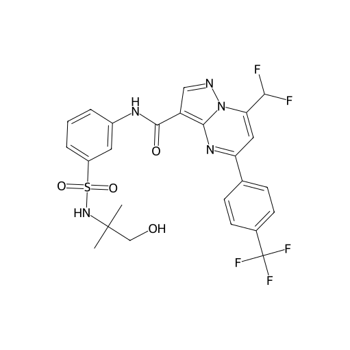 CC(C)(CO)NS(=O)(=O)c1cccc(NC(=O)c2cnn3c(C(F)F)cc(-c4ccc(C(F)(F)F)cc4)nc23)c1